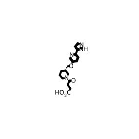 O=C(O)CCC(=O)N1CCC[C@H](COc2ccc(-c3ccn[nH]3)nc2)C1